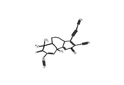 [C-]#[N+]C1=CC2(C)C3=CC(=O)C(C#N)=C(C#CC#C)C3CCC2C(C)(C)C1=O